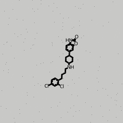 O=c1[nH]c2ccc(C3CCC(NCCCCc4ccc(Cl)cc4Cl)CC3)cc2o1